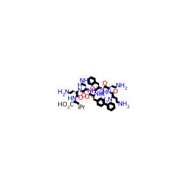 CC(C)C[C@H](NC(=O)[C@H](CCN)NC(=O)[C@H](CCN)NC(=O)[C@H](Cc1ccc(-c2ccccc2)cc1)NC(=O)[C@@H](Cc1ccccc1)NC(=O)[C@H](CCN)NC(=O)[C@@H](N)CCN)C(=O)O